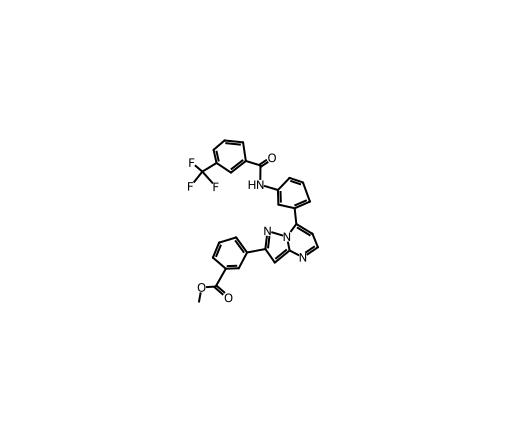 COC(=O)c1cccc(-c2cc3nccc(-c4cccc(NC(=O)c5cccc(C(F)(F)F)c5)c4)n3n2)c1